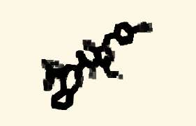 Cc1c(NC(=O)c2cc(C(N)=O)c3ccccc3n2)c(C(F)(F)F)nn1Cc1ccc(C(C)(C)C)cc1